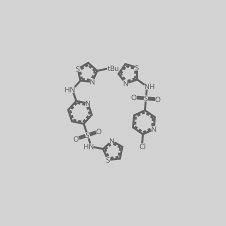 CC(C)(C)c1csc(Nc2ccc(S(=O)(=O)Nc3nccs3)cn2)n1.O=S(=O)(Nc1nccs1)c1ccc(Cl)nc1